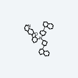 c1cc(-c2cccc3ccccc23)cc(N(c2ccc(-c3cccc4ccccc34)cc2)c2cccc3c2oc2cc4ncccc4cc23)c1